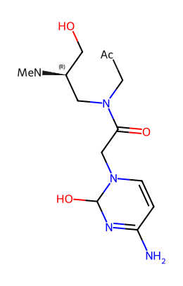 CN[C@@H](CO)CN(CC(C)=O)C(=O)CN1C=CC(N)=NC1O